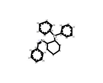 C(=N/C1CCCCC1P(c1ccccc1)c1ccccc1)/c1ccccc1